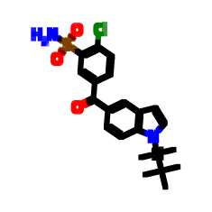 CC(C)(C)[Si](C)(C)n1ccc2cc(C(=O)c3ccc(Cl)c(S(N)(=O)=O)c3)ccc21